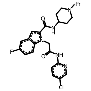 CC(C)N1CCC(NC(=O)c2cc3cc(F)ccc3n2CC(=O)Nc2ccc(Cl)cn2)CC1